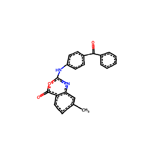 Cc1ccc2c(=O)oc(Nc3ccc(C(=O)c4ccccc4)cc3)nc2c1